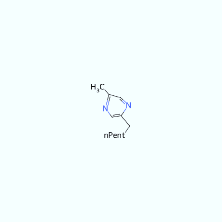 [CH2]CCCCCc1cnc(C)cn1